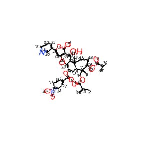 CC(C)C(=O)OCC1(C)C2C[C@H](OC(=O)c3ccc([N+](=O)[O-])cc3)[C@@]3(C)Oc4cc(-c5cccnc5)oc(=O)c4[C@H](O)C3C2(C)CC[C@@H]1OC(=O)C(C)C